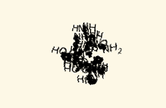 CC(C)C[C@H](NC(=O)[C@@H](CCCCCN)NC(=O)[C@@H](Cc1ccc(O)cc1)NC(=O)[C@H](CO)NC(=O)[C@H](Cc1c[nH]c2ccccc12)NC(=O)[C@H](Cc1ncc[nH]1)NC(=O)[C@@H]1CCC(=O)N1)C(=O)N[C@@H](CCCNC(=N)N)C(=O)N1CCC[C@H]1C(=O)NCC(N)=O